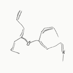 C=C/C=C(\C=C/C)OC(/C=C\C)=C/C=N\C